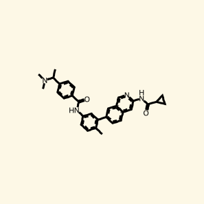 Cc1ccc(NC(=O)c2ccc(C(C)N(C)C)cc2)cc1-c1ccc2cc(NC(=O)C3CC3)ncc2c1